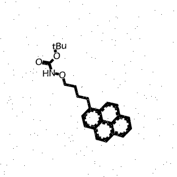 CC(C)(C)OC(=O)NOCCCCc1ccc2ccc3cccc4ccc1c2c34